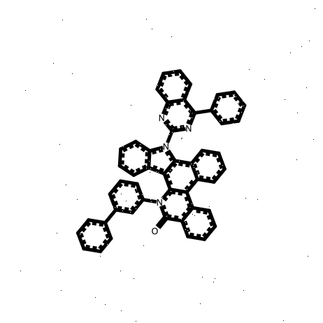 O=c1c2ccccc2c2c3ccccc3c3c(c4ccccc4n3-c3nc(-c4ccccc4)c4ccccc4n3)c2n1-c1cccc(-c2ccccc2)c1